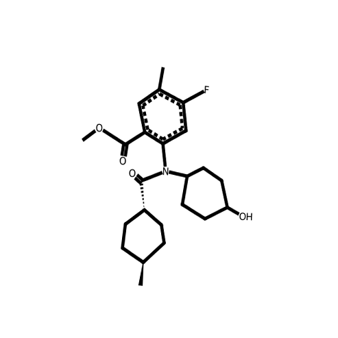 COC(=O)c1cc(C)c(F)cc1N(C(=O)[C@H]1CC[C@H](C)CC1)C1CCC(O)CC1